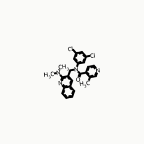 Cc1cnccc1C(=O)N(Cc1cc2ccccc2nc1N(C)C)c1cc(Cl)cc(Cl)c1